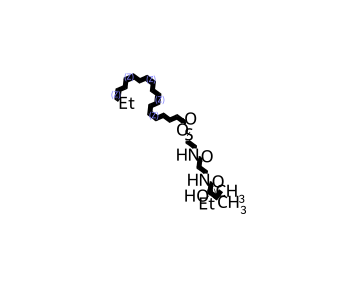 CC/C=C\C/C=C\C/C=C\C/C=C\C/C=C\CCCC(=O)OSCCNC(=O)CCNC(=O)[C@H](O)C(C)(C)CC